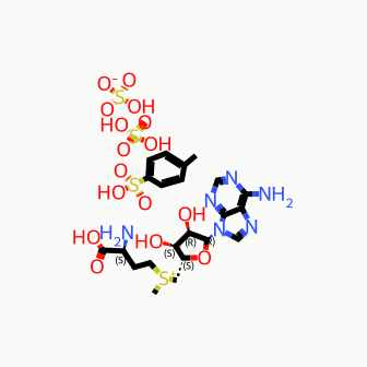 C[S+](CC[C@H](N)C(=O)O)C[C@H]1O[C@@H](n2cnc3c(N)ncnc32)[C@H](O)[C@@H]1O.Cc1ccc(S(=O)(=O)O)cc1.O=S(=O)(O)O.O=S(=O)([O-])O